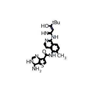 Cc1ccc2c(NC(=N)/C=C(\O)C(C)(C)C)nccc2c1NC(=O)c1csc2c1N=CNC2N